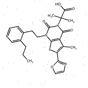 CCCc1ccccc1CCn1c(=O)n(C(C)(C)C(=O)O)c(=O)c2c(C)c(-c3ncco3)sc21